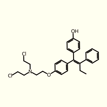 CCC(=C(c1ccc(O)cc1)c1ccc(OCCN(CCCl)CCCl)cc1)c1ccccc1